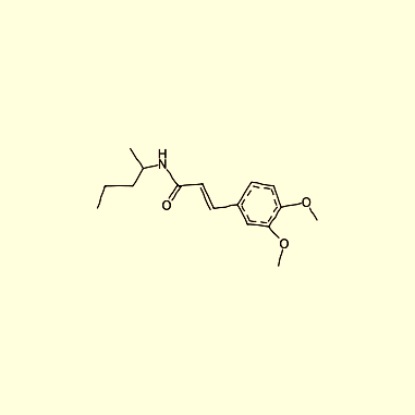 CCCC(C)NC(=O)/C=C/c1ccc(OC)c(OC)c1